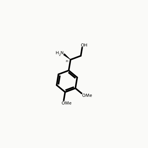 COc1ccc([C@@H](N)CO)cc1OC